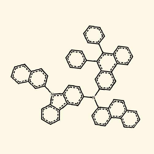 c1ccc(-c2c(-c3ccccc3)c3cc(N(c4ccc5c(c4)c4ccccc4n5-c4ccc5ccccc5c4)c4cccc5c4ccc4ccccc45)ccc3c3ccccc23)cc1